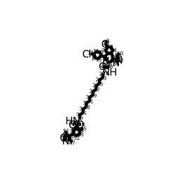 COc1ccc2c(c1)C(c1ccc(Cl)cc1)=N[C@@H](CC(=O)NCCCCCCCCCCCCCCCCNS(=O)(=O)c1cc(-c3c(C)noc3C)ccc1C)c1nnc(C)n1-2